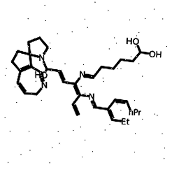 C=CC(/N=C/C(/C=C\CCC)=C/CC)=C(\C=C\C(O)N1CCCC12CCC1=C2C=NCC=C1)/N=C/CCCCC(O)O